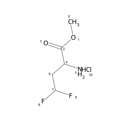 COC(=O)C(N)CC(F)F.Cl